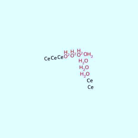 O.O.O.O.O.O.O.[Ce].[Ce].[Ce].[Ce].[Ce]